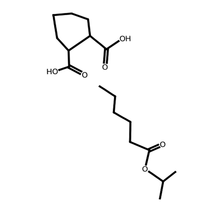 CCCCCC(=O)OC(C)C.O=C(O)C1CCCCC1C(=O)O